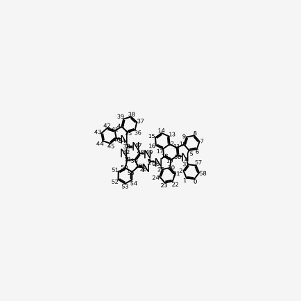 c1ccc(-n2c3ccccc3c3c4ccccc4c4c(c5ccccc5n4-c4nc5c6c(nc(-n7c8ccccc8c8ccccc87)nc6n4)-c4ccccc4-5)c32)cc1